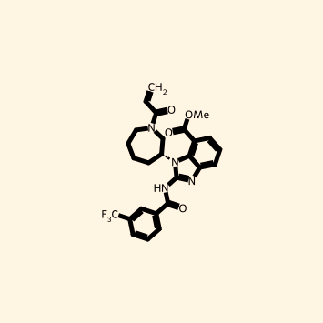 C=CC(=O)N1CCCC[C@@H](n2c(NC(=O)c3cccc(C(F)(F)F)c3)nc3cccc(C(=O)OC)c32)C1